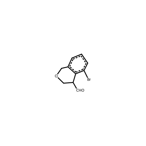 O=CC1COCc2cccc(Br)c21